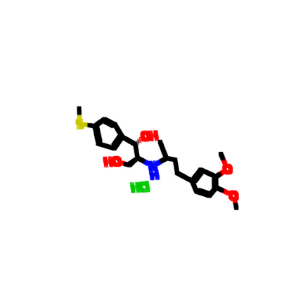 COc1ccc(CCC(C)N[C@@H](CO)[C@@H](O)c2ccc(SC)cc2)cc1OC.Cl